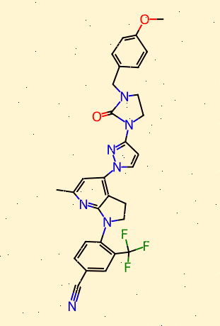 COc1ccc(CN2CCN(c3ccn(-c4cc(C)nc5c4CCN5c4ccc(C#N)cc4C(F)(F)F)n3)C2=O)cc1